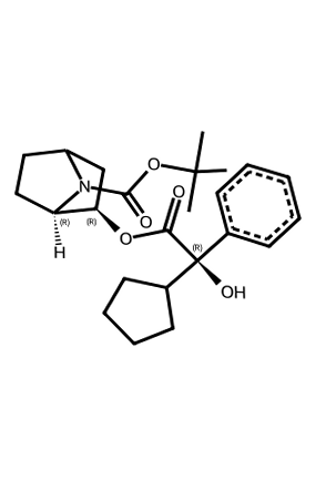 CC(C)(C)OC(=O)N1C2CC[C@@H]1[C@H](OC(=O)[C@](O)(c1ccccc1)C1CCCC1)C2